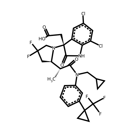 C[C@@H](C(=O)N(CC1CC1)c1cccc(C2(C(F)(F)F)CC2)c1)[C@H]1CC(F)(F)CN1[C@@]1(CC(=O)O)C(=O)Nc2c(Cl)cc(Cl)cc21